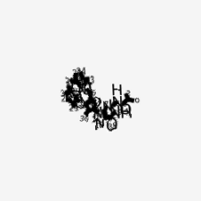 CC(C)C(=O)Nc1nc2c(ncn2C2OC3CO[Si](C(C)C)(C(C)C)O[Si](C(C)C)(C(C)C)OC3C2C)c(=O)[nH]1